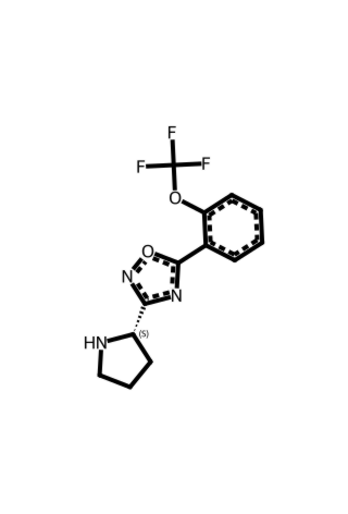 FC(F)(F)Oc1ccccc1-c1nc([C@@H]2CCCN2)no1